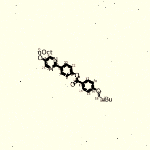 CCCCCCCCOc1cnc(-c2ccc(OC(=O)c3ccc(OC[C@@H](C)CC)cc3)cc2)nc1